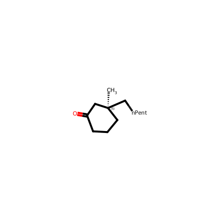 CCCCCC[C@@]1(C)CCCC(=O)C1